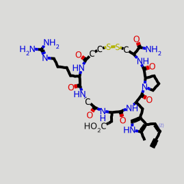 C#C/C=C\c1c(CC2NC(=O)C(CC(=O)O)NC(=O)CNC(=O)C(CCCCN=C(N)N)NC(=O)CCSSCC(C(N)=O)NC(=O)C3CCCN3C2=O)c[nH]c1C